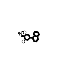 CN(C)C=C1C(=O)CC(c2cccc3ccccc23)CC1=O